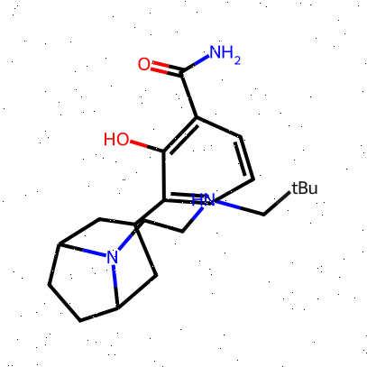 CC(C)(C)CNCCN1C2CCC1CC(c1cccc(C(N)=O)c1O)C2